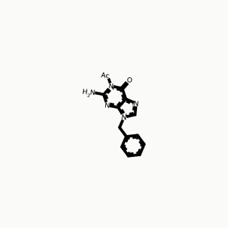 CC(=O)n1c(N)nc2c(ncn2Cc2ccccc2)c1=O